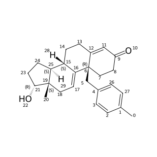 Cc1ccc(C[C@]23CCC(=O)C=C2CC[C@@H]2C3=CC[C@]3(C)[C@H](O)CC[C@@H]23)cc1